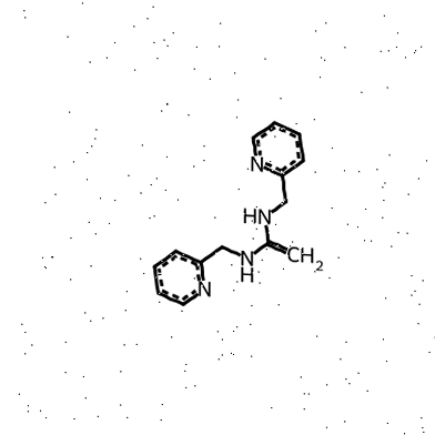 C=C(NCc1ccccn1)NCc1ccccn1